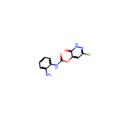 Nc1ccccc1NC(=O)Oc1cc(Cl)n[nH]c1=O